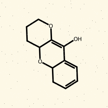 OC1=C2OCCCC2OC2CC=CC=C12